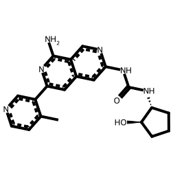 Cc1ccncc1-c1cc2cc(NC(=O)N[C@@H]3CCC[C@H]3O)ncc2c(N)n1